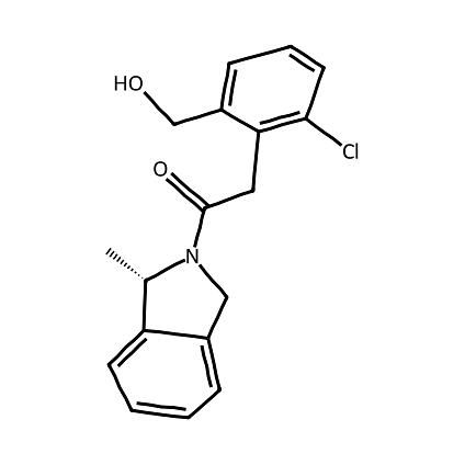 C[C@H]1c2ccccc2CN1C(=O)Cc1c(Cl)cccc1CO